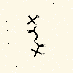 CCC(C)(C)OC(=O)COC(=O)C(C)(C)CC